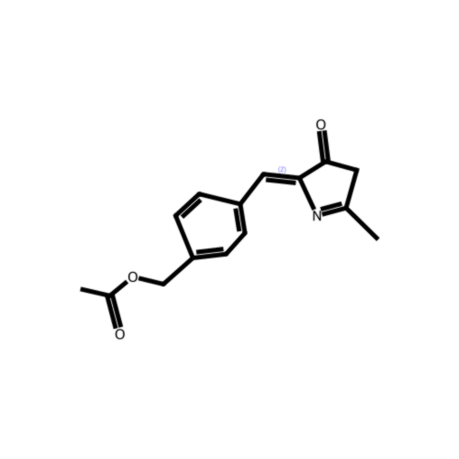 CC(=O)OCc1ccc(/C=C2\N=C(C)CC2=O)cc1